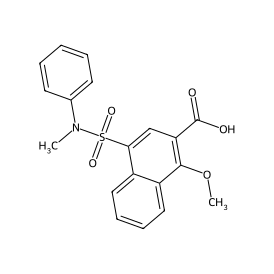 COc1c(C(=O)O)cc(S(=O)(=O)N(C)c2ccccc2)c2ccccc12